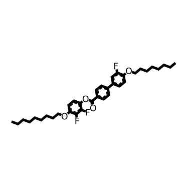 CCCCCCCCCOc1ccc(OC(=O)c2ccc(-c3ccc(OCCCCCCCC)c(F)c3)cc2)c(F)c1F